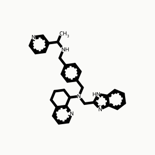 CC(NCc1ccc(CN(Cc2nc3ccccc3[nH]2)C2CCCc3cccnc32)cc1)c1cccnc1